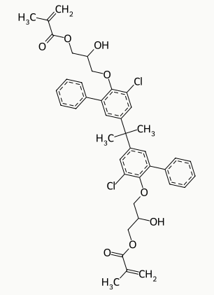 C=C(C)C(=O)OCC(O)COc1c(Cl)cc(C(C)(C)c2cc(Cl)c(OCC(O)COC(=O)C(=C)C)c(-c3ccccc3)c2)cc1-c1ccccc1